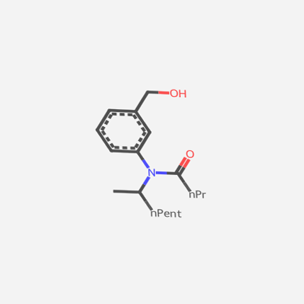 CCCCCC(C)N(C(=O)CCC)c1cccc(CO)c1